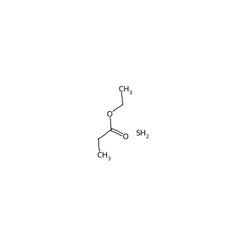 CCOC(=O)CC.S